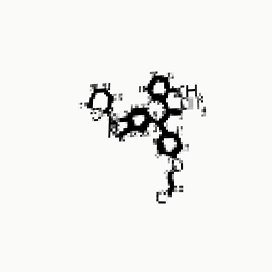 CCC(=C(c1ccc(OCCCl)cc1)c1ccc2c(cnn2C2CCCCO2)c1)c1ccccc1C